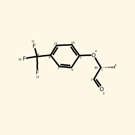 C[C@H](C=O)Oc1ccc(C(F)(F)F)cc1